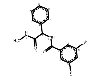 CNC(=O)C(NC(=O)c1cc(Br)cc(Br)c1)c1ccccc1